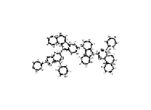 c1ccc(-c2cc3nc(-n4c5ccc(-c6cccc7c6c6ccccc6n7-c6nc(-c7ccccc7)c7ccc8ccccc8c7n6)cc5c5ccc6ccccc6c54)nc(-c4ccccc4)c3s2)cc1